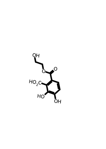 O=C(OCCO)c1ccc(O)c(O)c1C(=O)O